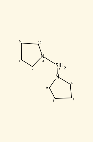 C1CCN([SiH2]N2CCCC2)C1